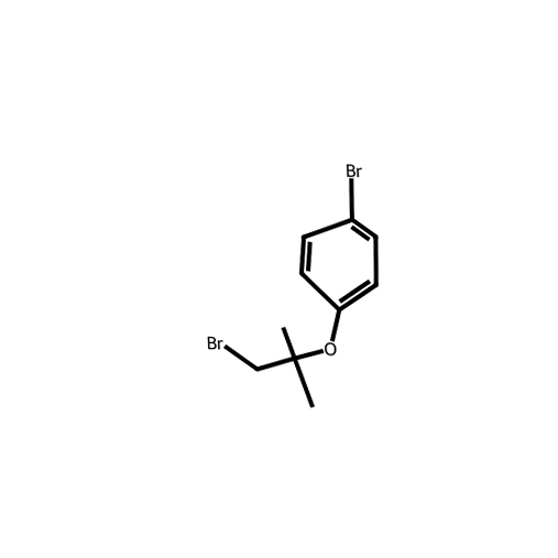 CC(C)(CBr)Oc1ccc(Br)cc1